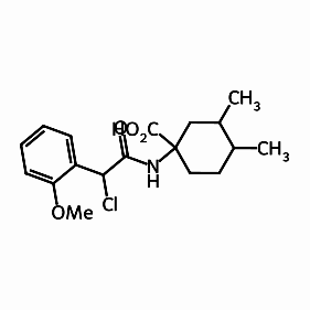 COc1ccccc1C(Cl)C(=O)NC1(C(=O)O)CCC(C)C(C)C1